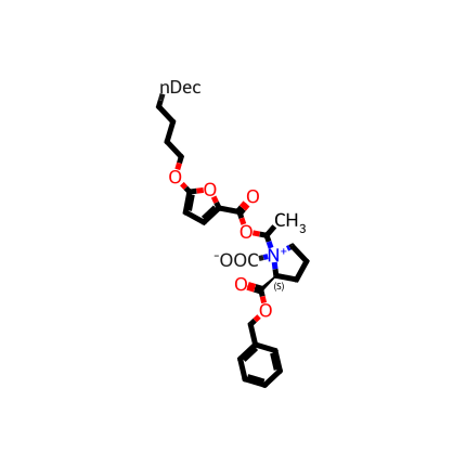 CCCCCCCCCCCCCCOc1ccc(C(=O)OC(C)[N+]2(C(=O)[O-])CCC[C@H]2C(=O)OCc2ccccc2)o1